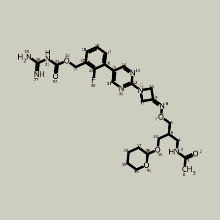 CC(=O)NCC(CON=C1CN(c2ncc(-c3cccc(COC(=O)NC(=N)N)c3F)cn2)C1)COC1CCCCO1